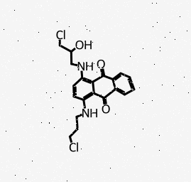 O=C1c2ccccc2C(=O)c2c(NCC(O)CCl)ccc(NCCCCl)c21